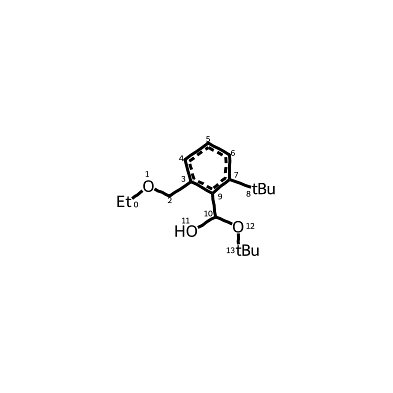 CCOCc1cccc(C(C)(C)C)c1C(O)OC(C)(C)C